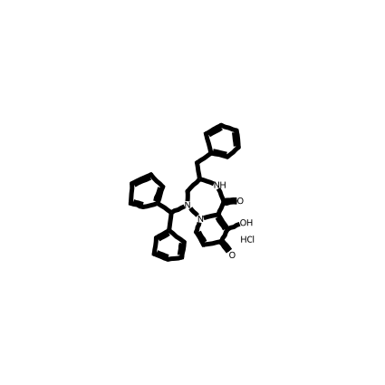 Cl.O=C1NC(Cc2ccccc2)CN(C(c2ccccc2)c2ccccc2)n2ccc(=O)c(O)c21